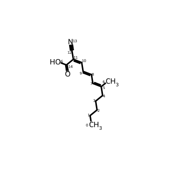 CCCCCC(C)=CC=CC=C(C#N)C(=O)O